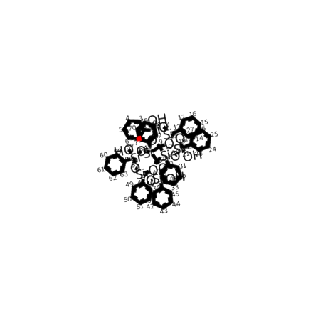 O[Si]1(c2ccccc2)OC23O[Si](c4ccccc4)(O1)O[Si](O)(c1ccccc1)O[Si]2(c1ccccc1)C12O[Si](O)(c4ccccc4)O[Si](c4ccccc4)(O1)O[Si](O)(c1ccccc1)O[Si]32c1ccccc1